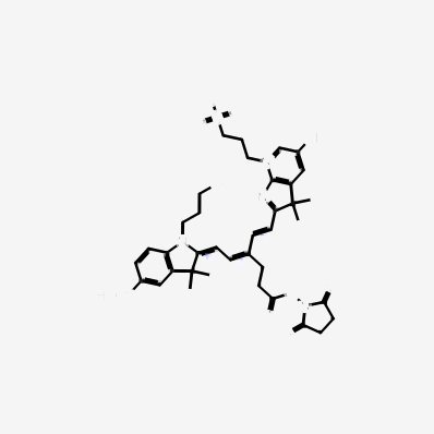 CC1(C)C(/C=C/C(=C\C=C2\N(CCCS(=O)(=O)O)c3ccc(S(=O)(=O)O)cc3C2(C)C)CCC(=O)ON2C(=O)CCC2=O)=Nc2c1cc(Cl)c[n+]2CCCS(=O)(=O)[O-]